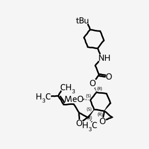 CO[C@@H]1[C@H](OC(=O)CNC2CCC(C(C)(C)C)CC2)CC[C@]2(CO2)[C@H]1[C@@]1(C)OC1CC=C(C)C